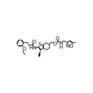 C#Cc1c(NC(=O)CCc2ccccc2OCC)sc2c1CCC(COC(=O)NCc1cc(C)on1)C2